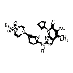 CCS(=O)(=O)N1CCN(c2ccc(Nc3ncc4c(C)c(C(C)=O)c(=O)n(C5CCCC5)c4n3)nc2)CC1